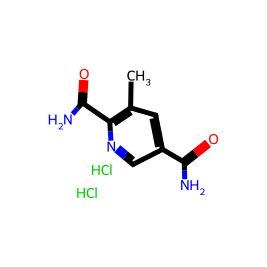 Cc1cc(C(N)=O)cnc1C(N)=O.Cl.Cl